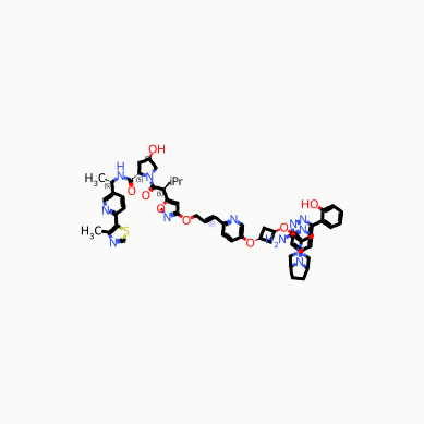 Cc1ncsc1-c1ccc([C@H](C)NC(=O)[C@@H]2C[C@@H](O)CN2C(=O)[C@H](c2cc(OC/C=C/c3ccc(O[C@H]4C[C@H](Oc5cc(N6C7CCC6CN(c6cc(-c8ccccc8O)nnc6N)C7)ccn5)C4)cn3)no2)C(C)C)cn1